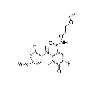 C=COCCONC(=O)c1cc(F)c(=O)n(C)c1Nc1ccc(SC)cc1F